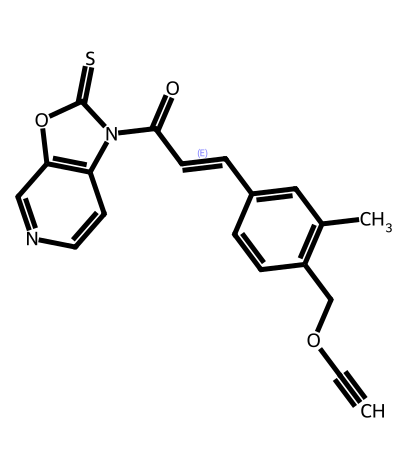 C#COCc1ccc(/C=C/C(=O)n2c(=S)oc3cnccc32)cc1C